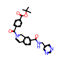 CC(C)(C)OC(=O)c1ccc(C(=O)N2C=Cc3ccc(C(=O)NCc4cncnc4)cc3C2)cc1